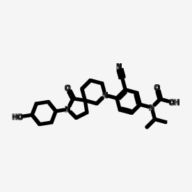 CC(C)N(C(=O)O)c1ccc(N2CCCC3(CCN(C4CCC(O)CC4)C3=O)C2)c(C#N)c1